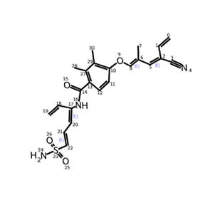 C=C/C(C#N)=C\C(C)=C\Oc1ccc(C(=O)N/C(C=C)=C/C=C/S(N)(=O)=O)c(C)c1C